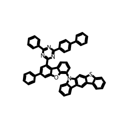 c1ccc(-c2ccc(-c3nc(-c4ccccc4)nc(-c4cc(-c5ccccc5)cc5oc6c(-n7c8ccccc8c8cc9c(cc87)sc7ccccc79)cccc6c45)n3)cc2)cc1